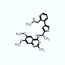 CNCc1ccccc1-c1csc([C@@H](C)Nc2nc(C)nc3cc(OC)c(OC)cc23)c1